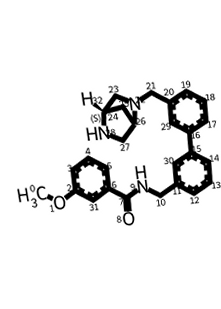 COc1cccc(C(=O)NCc2cccc(-c3cccc(CN4C[C@@H]5CC4CN5)c3)c2)c1